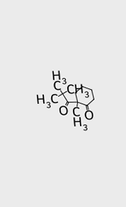 CC(C)(C)C(=O)C1(C)CCCCC1=O